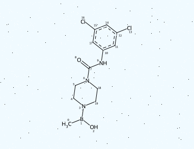 CB(O)N1CCN(C(=O)Nc2cc(Cl)cc(Cl)c2)CC1